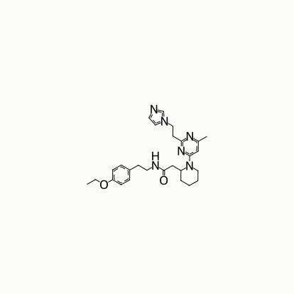 CCOc1ccc(CCNC(=O)CC2CCCCN2c2cc(C)nc(CCn3ccnc3)n2)cc1